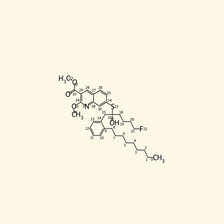 CCCCCCCCCc1ccccc1C[C@@](O)(CCCCF)Sc1ccc2cc(C(=O)OC)c(OC)nc2c1